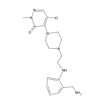 Cn1ncc(Cl)c(N2CCN(CCNc3ccccc3CN)CC2)c1=O